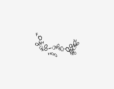 C[C@H](c1ccc(C#CC2CCN(C(=O)CN3CCC(c4ccc5c(c4)n(C)c(=O)n5[C@H]4CCC(=O)NC4=O)CC3)CC2)c2ccccc12)N1CCC(C(=O)NCc2cccc(F)c2)CC1.O=CO